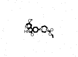 CCOC(=O)N1CCCN(C2CCC3(CC2)C(=O)Nc2ncc(OC)cc23)CC1